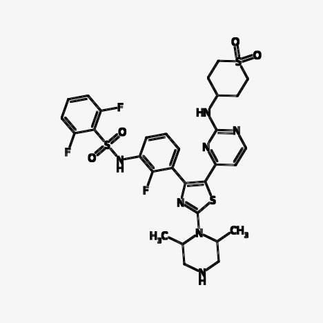 CC1CNCC(C)N1c1nc(-c2cccc(NS(=O)(=O)c3c(F)cccc3F)c2F)c(-c2ccnc(NC3CCS(=O)(=O)CC3)n2)s1